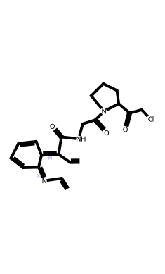 C=C/N=C1/C=CC=C/C1=C(/C=C)C(=O)NCC(=O)N1CCCC1C(=O)CCl